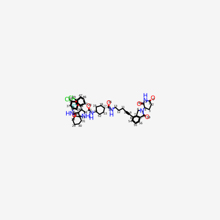 O=C1CCC(N2Cc3c(C#CCCCNC(=O)[C@H]4CC[C@H](NC(=O)[C@@H]5NC6(CCCCC6)[C@@]6(C(=O)Nc7cc(Cl)ccc76)[C@H]5c5cccc(Cl)c5F)CC4)cccc3C2=O)C(=O)N1